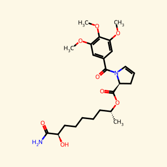 COc1cc(C(=O)N2C=CC[C@H]2C(=O)O[C@H](C)CCCCC[C@@H](O)C(N)=O)cc(OC)c1OC